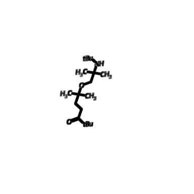 CC(C)(C)NC(C)(C)COC(C)(C)CCC(=O)C(C)(C)C